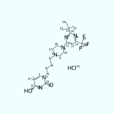 Cc1cn(CCCCN2CCN(c3cc(C(F)(F)F)nc(C(C)(C)C)n3)CC2)c(=O)nc1O.Cl